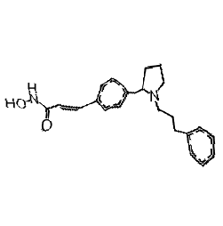 O=C(C=Cc1ccc(C2CCCN2CCCc2ccccc2)cc1)NO